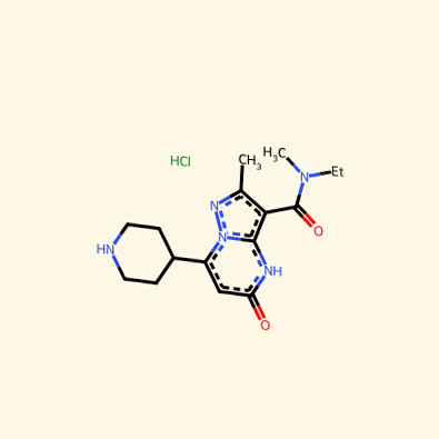 CCN(C)C(=O)c1c(C)nn2c(C3CCNCC3)cc(=O)[nH]c12.Cl